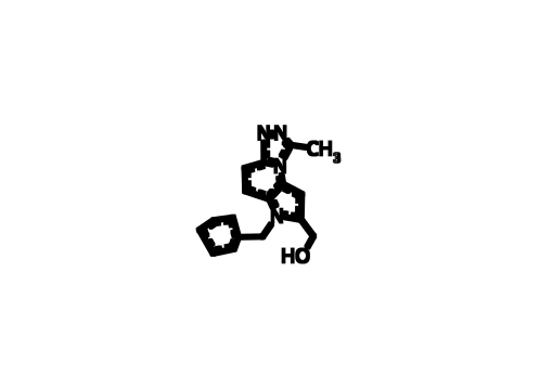 Cc1nnc2ccc3c(cc(CO)n3Cc3ccccc3)n12